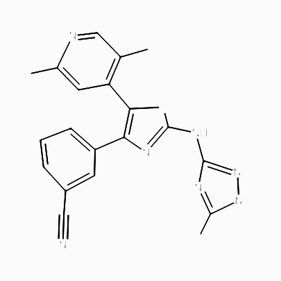 Cc1cc(-c2sc(Nc3n[nH]c(C)n3)nc2-c2cccc(C#N)c2)c(C)cn1